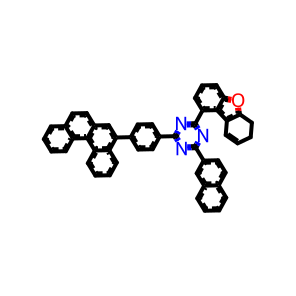 C1=Cc2c(oc3cccc(-c4nc(-c5ccc(-c6cc7ccc8ccccc8c7c7ccccc67)cc5)nc(-c5ccc6ccccc6c5)n4)c23)CC1